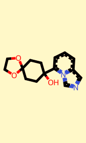 OC1(c2cccc3cncn23)CCC2(CC1)OCCO2